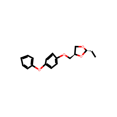 CC[C@H]1OC[C@H](COc2ccc(Oc3ccccc3)cc2)O1